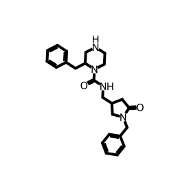 O=C1CC(CNC(=O)N2CCNCC2Cc2ccccc2)CN1Cc1ccccc1